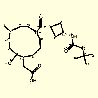 CN1CCC(O)N(CC(=O)O)CCCN(C(=O)[C@H]2C[C@@H](NC(=O)OC(C)(C)C)C2)CC1